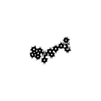 C1=CCCC(C2(c3ccccc3)c3ccccc3-c3c(-c4nc(-c5ccccc5)cc(-c5ccc(-c6ccc(-c7ccc(-n8c(-c9ccccn9)nc9ccccc98)cc7)cc6)c6ccccc56)n4)cccc32)=C1